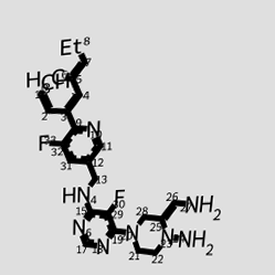 C\C=C/C(=C\C(C)=C\CC)c1ncc(CNc2ncnc(N3CCN(N)/C(=C\N)C3)c2F)cc1F